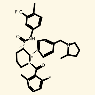 Cc1ccc(NC(=O)[C@H]2CCCN(C(=O)c3c(C)cccc3F)[C@H]2c2ccc(CN3CCCC3C)cc2)cc1C(F)(F)F